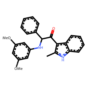 COc1cc(NC(C(=O)c2c(C)[nH]c3ccccc23)c2ccccc2)cc(OC)c1